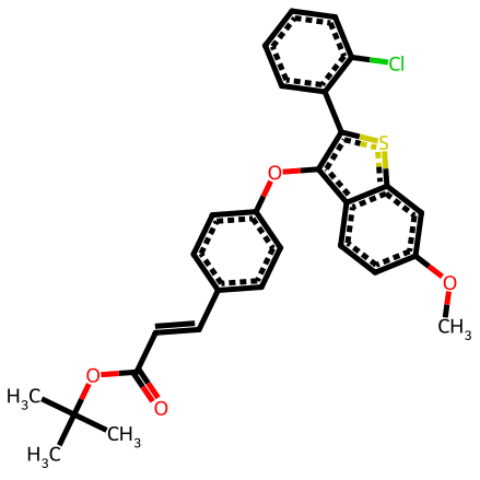 COc1ccc2c(Oc3ccc(C=CC(=O)OC(C)(C)C)cc3)c(-c3ccccc3Cl)sc2c1